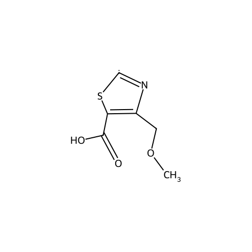 COCc1n[c]sc1C(=O)O